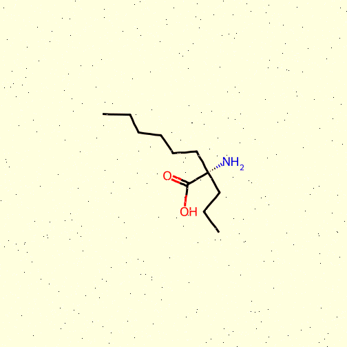 CCCCCC[C@@](N)(CCC)C(=O)O